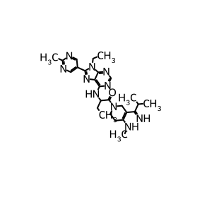 CCC(Nc1ncnc2c1nc(-c1cnc(C)nc1)n2CC)C(=O)N1CCC(NC)=C(C(=N)C(C)C)C1